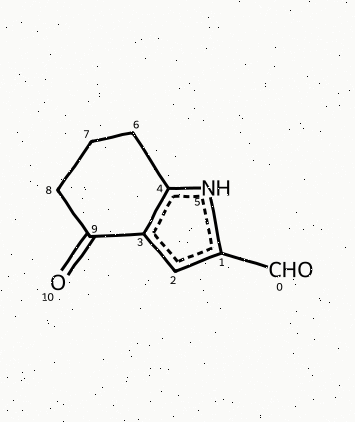 O=Cc1cc2c([nH]1)CCCC2=O